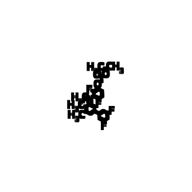 Cc1cc(-c2cc(F)cc(F)c2)cc(N(C)c2c(F)ccc(OCC(=O)OC(C)C)c2F)c1C